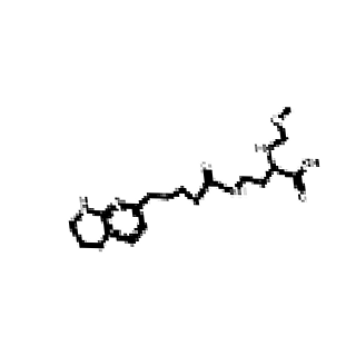 COCNC(CCNC(=O)CCCCc1ccc2c(n1)NCCC2)C(=O)O